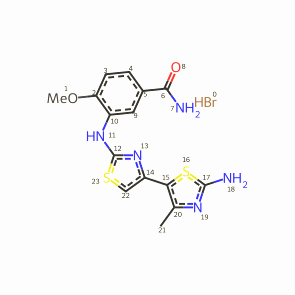 Br.COc1ccc(C(N)=O)cc1Nc1nc(-c2sc(N)nc2C)cs1